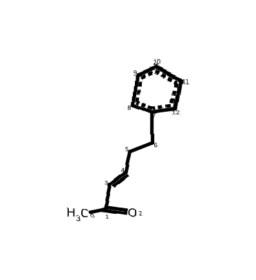 CC(=O)C=CCCc1ccccc1